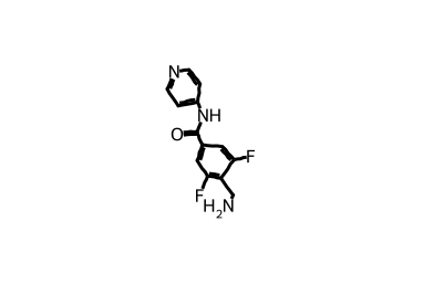 NCc1c(F)cc(C(=O)Nc2ccncc2)cc1F